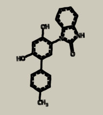 Cc1ccc(-c2cc(-n3c(=O)[nH]c4ccccc43)c(O)cc2O)cc1